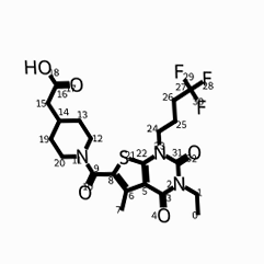 CCn1c(=O)c2c(C)c(C(=O)N3CCC(CC(=O)O)CC3)sc2n(CCCC(F)(F)F)c1=O